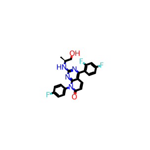 C[C@@H](CO)Nc1nc(-c2ccc(F)cc2F)c2ccc(=O)n(-c3ccc(F)cc3)c2n1